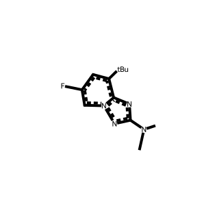 CN(C)c1nc2c(C(C)(C)C)cc(F)cn2n1